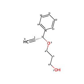 C#C[C@@H](OCCCO)c1ccccc1